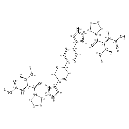 COC(=O)N[C@H](C(=O)N1CCC[C@H]1c1nc(C2=CCC(c3ccc(-c4c[nH]c([C@@H]5CCCN5C(=O)[C@H]([C@@H](C)OC)N(C)C(=O)O)n4)cc3)CC2)c[nH]1)[C@@H](C)OC